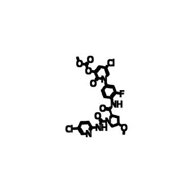 COC(=O)Oc1cc(Cl)cn(-c2ccc(NC(=O)[C@H]3C[C@@H](OC)CN3C(=O)Nc3ccc(Cl)cn3)c(F)c2)c1=O